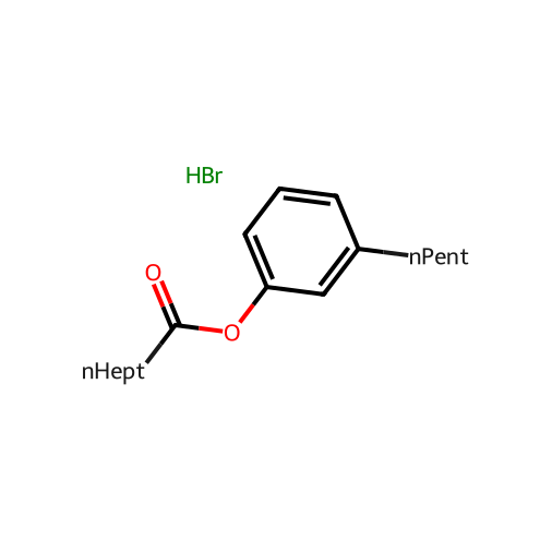 Br.CCCCCCCC(=O)Oc1cccc(CCCCC)c1